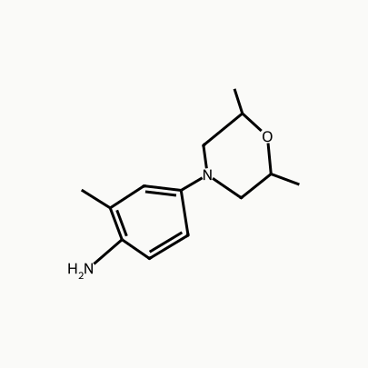 Cc1cc(N2CC(C)OC(C)C2)ccc1N